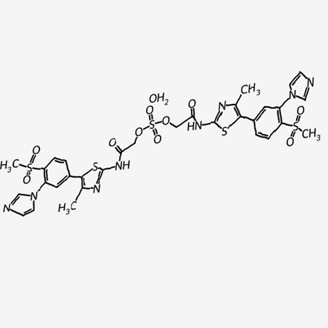 Cc1nc(NC(=O)COS(=O)(=O)OCC(=O)Nc2nc(C)c(-c3ccc(S(C)(=O)=O)c(-n4ccnc4)c3)s2)sc1-c1ccc(S(C)(=O)=O)c(-n2ccnc2)c1.O